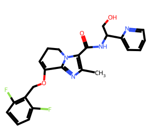 Cc1nc2n(c1C(=O)NC(CO)c1ccccn1)CCC=C2OCc1c(F)cccc1F